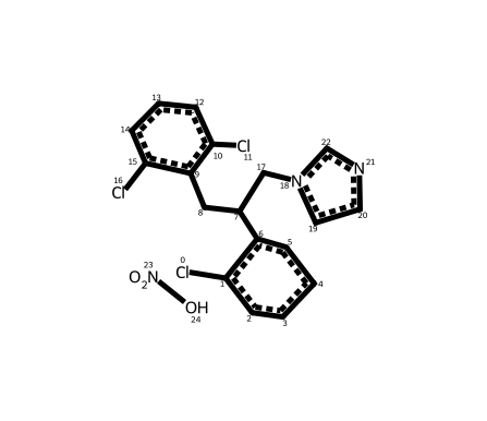 Clc1ccccc1C(Cc1c(Cl)cccc1Cl)Cn1ccnc1.O=[N+]([O-])O